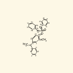 Cc1cc(C(C)c2ccccc2)ccc1OP(=O)(Oc1ccccc1)Oc1ccccc1